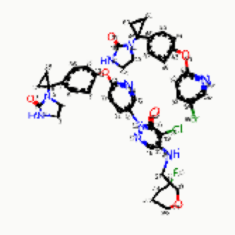 O=C1NCCN1C1(c2ccc(Oc3ccc(-n4ncc(NC[C@@]5(F)CCCOC5)c(Cl)c4=O)cn3)cc2)CC1.O=C1NCCN1C1(c2ccc(Oc3ccc(Br)cn3)cc2)CC1